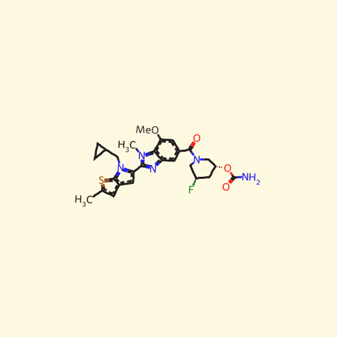 COc1cc(C(=O)N2C[C@H](F)C[C@@H](OC(N)=O)C2)cc2nc(-c3cc4cc(C)sc4n3CC3CC3)n(C)c12